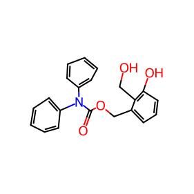 O=C(OCc1cccc(O)c1CO)N(c1ccccc1)c1ccccc1